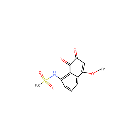 CC(C)OC1=CC(=O)C(=O)c2c(NS(=O)(=O)C(F)(F)F)cccc21